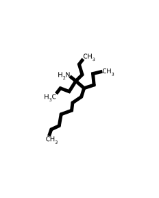 CCCCCCCC(CCC)C(N)(CCC)CCC